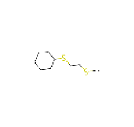 [CH2]SCCSC1CCCCC1